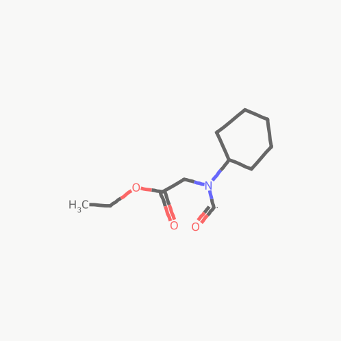 CCOC(=O)CN([C]=O)C1CCCCC1